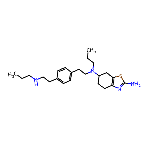 CCCNCCc1ccc(CCN(CCC)C2CCc3nc(N)sc3C2)cc1